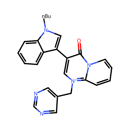 CCCCn1cc(-c2c[n+](Cc3cncnc3)c3ccccn3c2=O)c2ccccc21